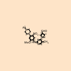 COc1cc(N2CCN(C(C)=O)CC2)c([N+](=O)[O-])cc1Nc1ncc(C)c(-n2cc(C=O)cn2)n1